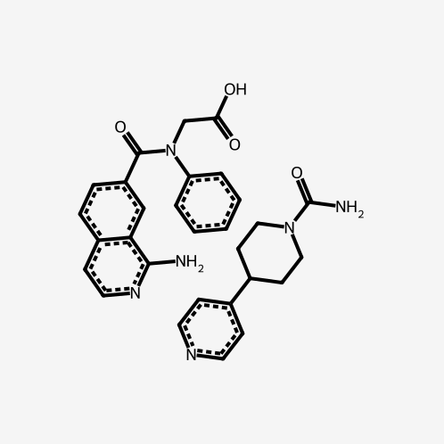 NC(=O)N1CCC(c2ccncc2)CC1.Nc1nccc2ccc(C(=O)N(CC(=O)O)c3ccccc3)cc12